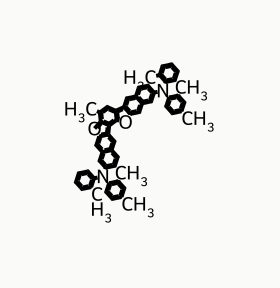 Cc1ccc(N(c2ccc3cc4c(cc3c2)oc2c4cc(C)c3oc4cc5cc(N(c6ccccc6C)c6ccc(C)cc6C)ccc5cc4c32)c2ccccc2C)c(C)c1